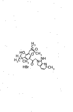 Br.Cc1ccc2c(n1)C(=N)N(CC(=O)c1cc(CN(C)S(C)(=O)=O)c(O)c(C(C)(C)C)c1)C2